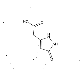 O=C(O)Cc1cc(=O)[nH][nH]1